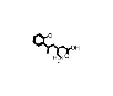 CC(CC(CN)CC(=O)O)c1ccccc1Cl